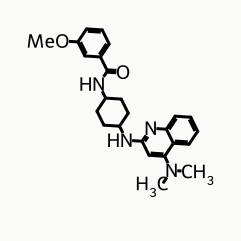 COc1cccc(C(=O)NC2CCC(Nc3cc(N(C)C)c4ccccc4n3)CC2)c1